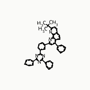 CC(C)(C)c1ccc2ccc3c(-c4ccccc4)cc(-c4cccc(-c5nc(-c6ccccc6)nc(-c6ccccc6)n5)c4)nc3c2n1